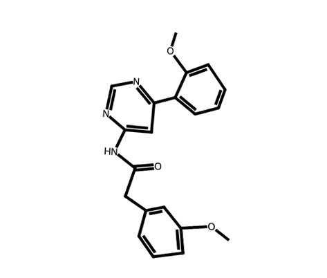 COc1cccc(CC(=O)Nc2cc(-c3ccccc3OC)ncn2)c1